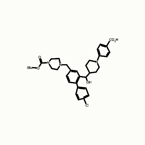 CC(C)(C)OC(=O)N1CCN(Cc2ccc(-c3ccc(Cl)cc3)c(C(O)C3CCN(c4ccc(C(=O)O)cc4)CC3)c2)CC1